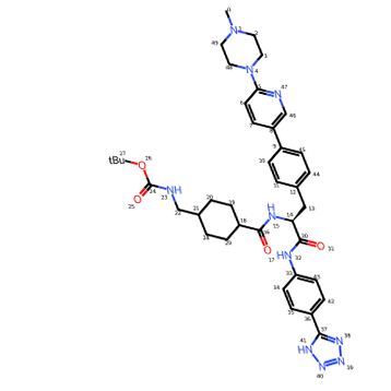 CN1CCN(c2ccc(-c3ccc(C[C@H](NC(=O)C4CCC(CNC(=O)OC(C)(C)C)CC4)C(=O)Nc4ccc(-c5nnn[nH]5)cc4)cc3)cn2)CC1